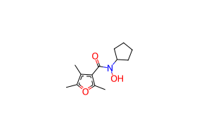 Cc1oc(C)c(C(=O)N(O)C2CCCC2)c1C